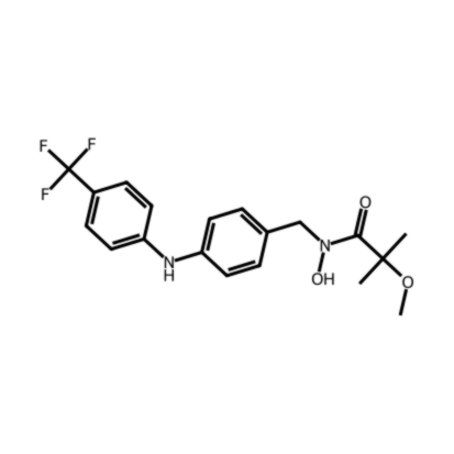 COC(C)(C)C(=O)N(O)Cc1ccc(Nc2ccc(C(F)(F)F)cc2)cc1